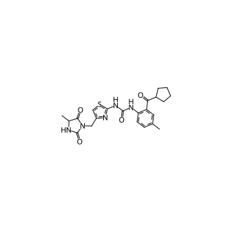 Cc1ccc(NC(=O)Nc2nc(CN3C(=O)NC(C)C3=O)cs2)c(C(=O)C2CCCC2)c1